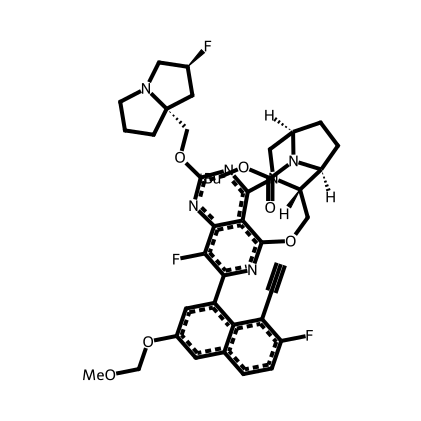 C#Cc1c(F)ccc2cc(OCOC)cc(-c3nc4c5c(nc(OC[C@]67CCCN6C[C@@H](F)C7)nc5c3F)N3C[C@H]5CC[C@@H]([C@@H]3CO4)N5C(=O)OC(C)(C)C)c12